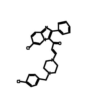 O=C(/C=C/N1CCN(Cc2ccc(Cl)cc2)CC1)c1c(-c2ccccc2)nc2ccc(Cl)cn12